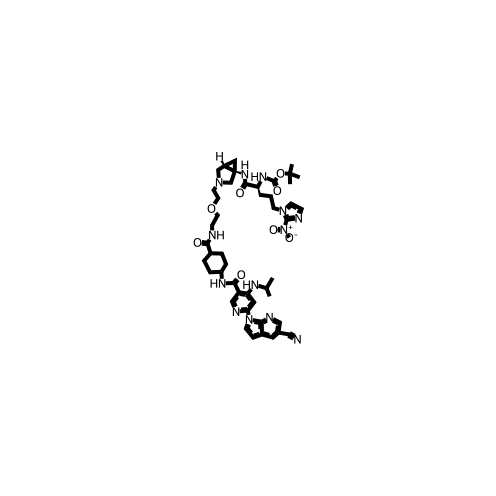 CC(C)Nc1cc(-n2ccc3cc(C#N)cnc32)ncc1C(=O)NC1CCC(C(=O)NCCOCCN2C[C@@H]3C[C@]3(NC(=O)[C@H](CCCn3ccnc3[N+](=O)[O-])NC(=O)OC(C)(C)C)C2)CC1